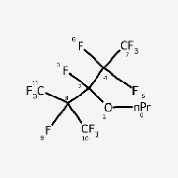 CCCOC(F)(C(F)(F)C(F)(F)F)C(F)(C(F)(F)F)C(F)(F)F